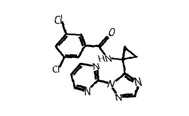 O=C(NC1(c2ncnn2-c2ncccn2)CC1)c1cc(Cl)cc(Cl)c1